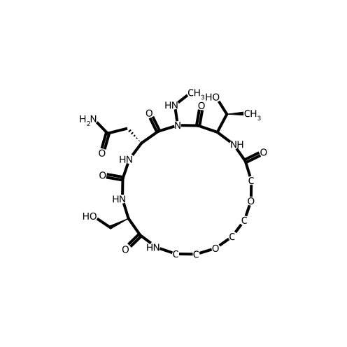 CNN1C(=O)C([C@H](C)O)NC(=O)COCCOCCNC(=O)[C@@H](CO)NC(=O)N[C@H](CC(N)=O)C1=O